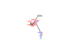 CCCCCCCCCCCCCCC(O)C(O)C(CO[C@H]1O[C@H](CO)[C@H](O)[C@H](O)[C@H]1O)NC(=O)CCCCCCCCCCCNC(=O)C1CCNCC1